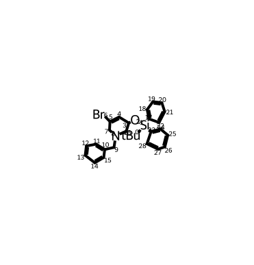 CC(C)(C)[Si](OC1C=C(Br)CN(Cc2ccccc2)C1)(c1ccccc1)c1ccccc1